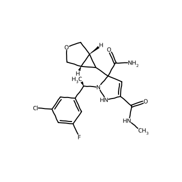 CNC(=O)C1=CC(C(N)=O)(C2[C@H]3COC[C@@H]23)N([C@H](C)c2cc(F)cc(Cl)c2)N1